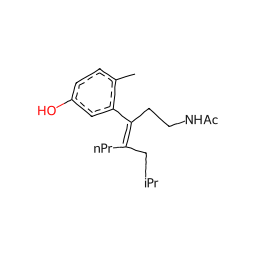 CCC/C(CC(C)C)=C(/CCNC(C)=O)c1cc(O)ccc1C